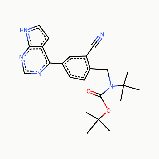 CC(C)(C)OC(=O)N(Cc1ccc(-c2ncnc3[nH]ccc23)cc1C#N)C(C)(C)C